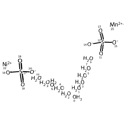 O.O.O.O.O.O.O.O.O.O.O.O=S(=O)([O-])[O-].O=S(=O)([O-])[O-].[Mn+2].[Ni+2]